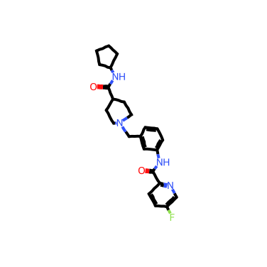 O=C(Nc1cccc(CN2CCC(C(=O)NC3CCCC3)CC2)c1)c1ccc(F)cn1